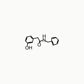 O=C(Cc1cccc(O)c1)NCc1ccccc1